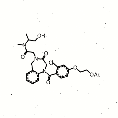 CC(=O)OCCOc1ccc(C(=O)N2CC(=O)N(CC(=O)N(C)C(C)CO)Cc3ccccc32)c(Cl)c1